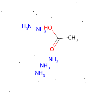 CC(=O)O.N.N.N.N.N